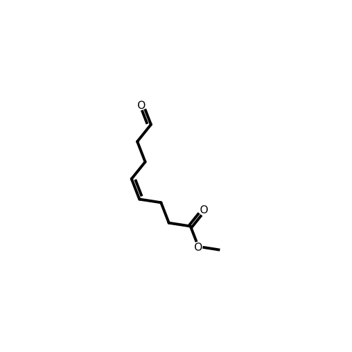 COC(=O)CC/C=C\CCC=O